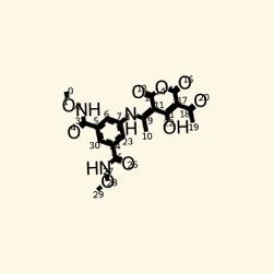 CONC(=O)c1cc(NC(C)=C2C(=O)OC(=O)C(C(C)=O)=C2O)cc(C(=O)NOC)c1